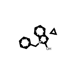 C1CC1.Oc1cc2ccccc2n1Cc1ccccc1